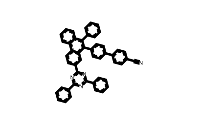 N#Cc1ccc(-c2ccc(-c3c(-c4ccccc4)c4ccccc4c4ccc(-c5nc(-c6ccccc6)nc(-c6ccccc6)n5)cc34)cc2)cc1